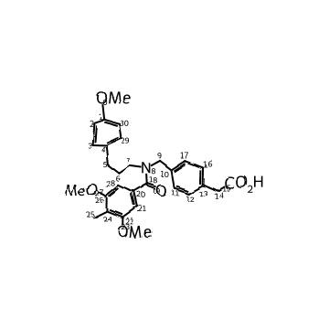 COc1ccc(CCCN(Cc2ccc(CC(=O)O)cc2)C(=O)c2cc(OC)c(C)c(OC)c2)cc1